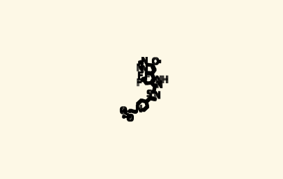 COc1cc(-c2[nH]nc(-c3ncc(C4CCN(CCS(C)(=O)=O)CC4)s3)c2CC(F)(F)F)cn2ncnc12